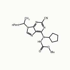 CCCCCC(C)n1cnc2c(N(NC(=O)OC(C)(C)C)C3CCCC3)nc(C#N)nc21